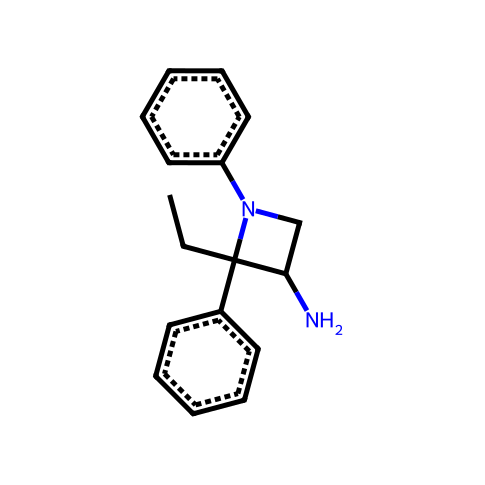 CCC1(c2ccccc2)C(N)CN1c1ccccc1